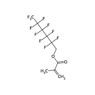 C=C(C)C(=O)OCC(F)(F)C(F)(F)C(F)(F)C(F)(F)C(F)(F)F